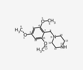 COc1cc(OC)c(CN2CCNCC2)c(OC)c1